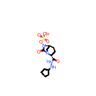 O=C(NNC1CCCC1)[C@@H]1CCC2CN1C(=O)N2OS(=O)(=O)O